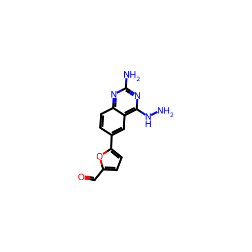 NNc1nc(N)nc2ccc(-c3ccc(C=O)o3)cc12